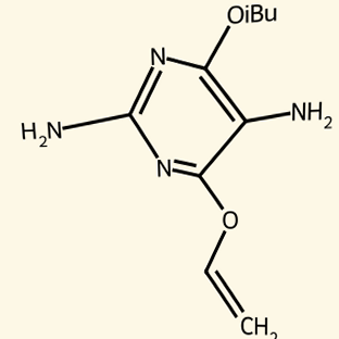 C=COc1nc(N)nc(OCC(C)C)c1N